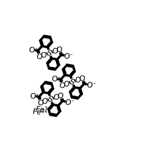 O=C([O-])c1ccccc1S(=O)(=O)c1ccccc1C(=O)[O-].O=C([O-])c1ccccc1S(=O)(=O)c1ccccc1C(=O)[O-].O=C([O-])c1ccccc1S(=O)(=O)c1ccccc1C(=O)[O-].[Fe+3].[Fe+3]